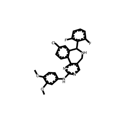 COc1ccc(Nc2ncc3c(n2)-c2ccc(Cl)cc2C(c2c(F)cccc2F)NC3)cc1OC